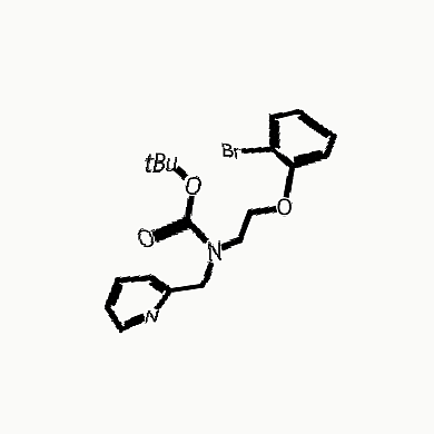 CC(C)(C)OC(=O)N(CCOc1ccccc1Br)Cc1ccccn1